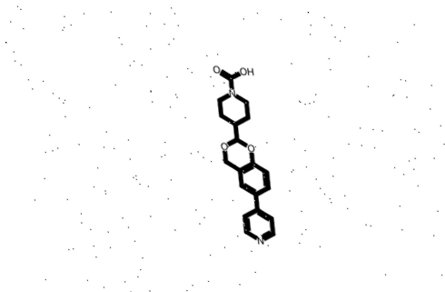 O=C(O)N1CCC(C2OCc3cc(-c4ccncc4)ccc3O2)CC1